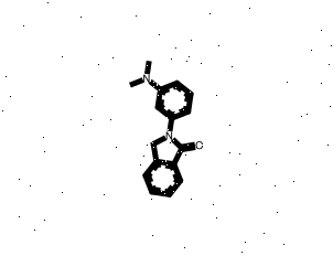 CN(C)c1cccc(N2Cc3ccccc3C2=O)c1